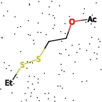 CCSSCCOC(C)=O